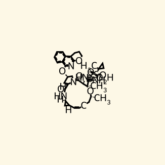 C[C@@H]1CC/C=C\[C@@H]2C[C@H]2NC(=O)[C@@H]2C[C@@H](Oc3nc4c(c5ccccc35)CCCO4)CN2C(=O)[C@@H](NC(=O)O)[C@@](C)(C(=O)NS(=O)(=O)C2(C)CC2)O1